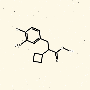 CC(C)(C)OC(=O)C(Cc1ccc(Cl)c(N)c1)C1CCC1